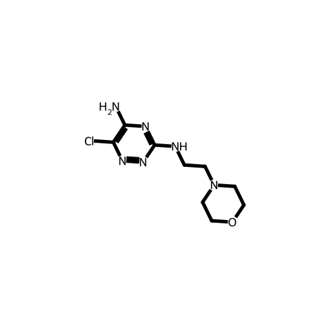 Nc1nc(NCCN2CCOCC2)nnc1Cl